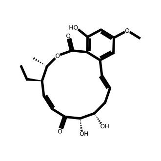 CC[C@@H]1/C=C\C(=O)[C@@H](O)[C@@H](O)C/C=C/c2cc(OC)cc(O)c2C(=O)O[C@H]1C